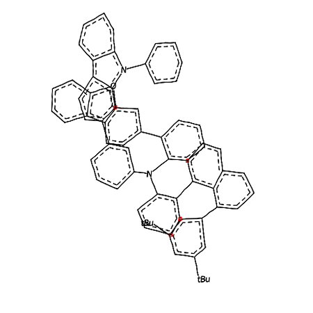 CC(C)(C)c1cc(-c2cccc3cccc(-c4ccccc4N(c4cccc(-c5ccc6c7ccccc7n(-c7ccccc7)c6c5)c4)c4ccccc4-c4ccc5c(c4)oc4ccccc45)c23)cc(C(C)(C)C)c1